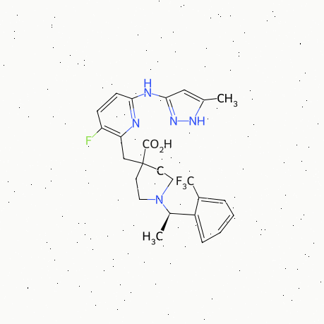 Cc1cc(Nc2ccc(F)c(CC3(C(=O)O)CCN([C@H](C)c4ccccc4C(F)(F)F)CC3)n2)n[nH]1